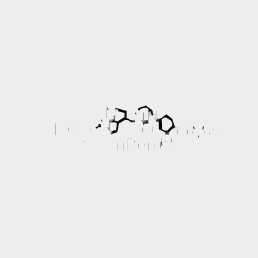 CCCCCOc1cc(N2CCCN(Cc3ccnc4c3ccn4CC(=O)O)C2=O)ccc1OC